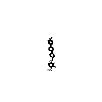 CCCc1ccc(C2CCC(C3CCC(COc4ccc(OCC)c(F)c4F)CC3)CC2)cc1